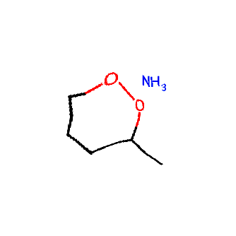 CC1CCCOO1.N